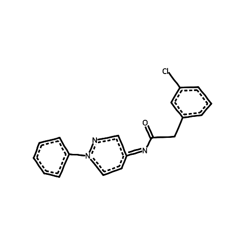 O=C(Cc1cccc(Cl)c1)/N=c1/ccn(-c2ccccc2)nc1